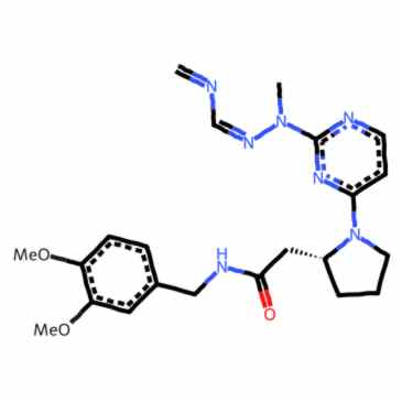 C=N/C=N\N(C)c1nccc(N2CCC[C@@H]2CC(=O)NCc2ccc(OC)c(OC)c2)n1